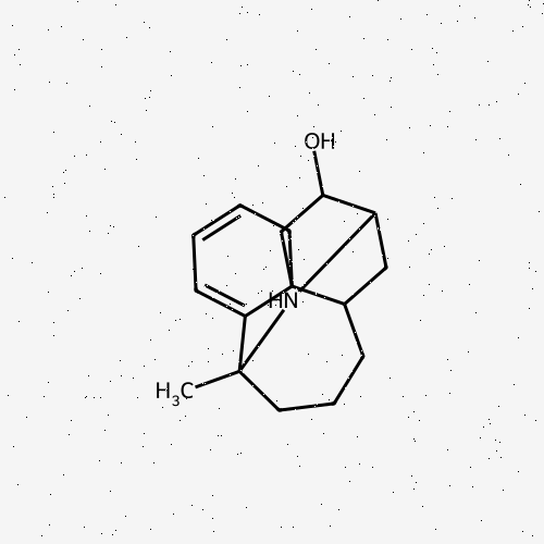 CC12CCCC3CC(N1)C(O)CC31CC=CC=C21